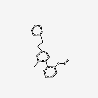 C=NOc1cccnc1-c1ccc(CCc2ccccc2)cc1C